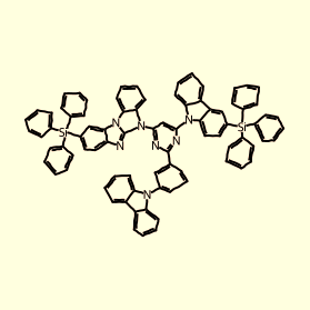 c1ccc([Si](c2ccccc2)(c2ccccc2)c2ccc3c(c2)c2ccccc2n3-c2cc(-n3c4ccccc4n4c5cc([Si](c6ccccc6)(c6ccccc6)c6ccccc6)ccc5nc34)nc(-c3cccc(-n4c5ccccc5c5ccccc54)c3)n2)cc1